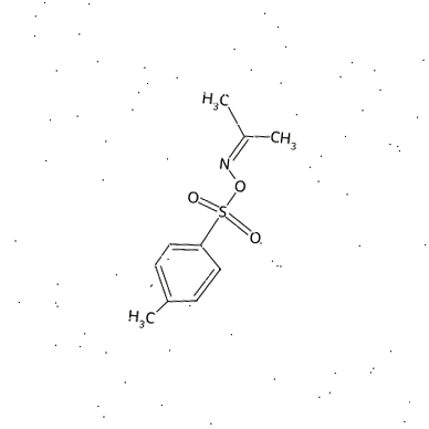 CC(C)=NOS(=O)(=O)c1ccc(C)cc1